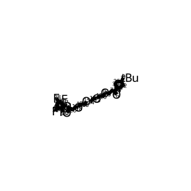 CC(C)(C)C1CCN(C(=O)CCOCCOCCOCCOCCC(=O)Oc2c(F)c(F)cc(F)c2F)CC1